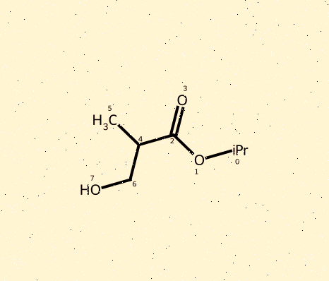 CC(C)OC(=O)C(C)CO